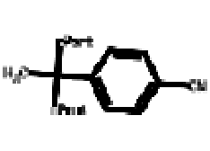 CCCCCC(C)(CCCCC)c1ccc(C#N)cc1